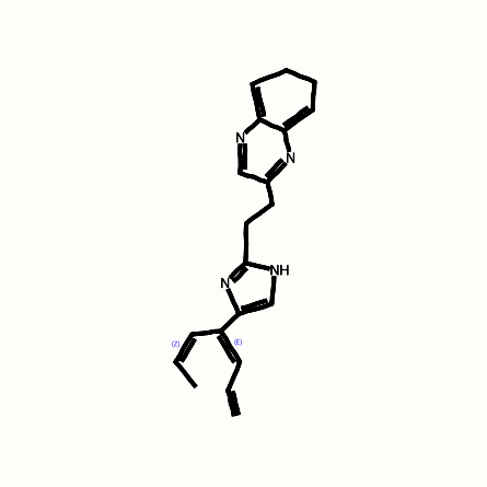 C=C/C=C(\C=C/C)c1c[nH]c(CCc2cnc3c(n2)=CCCC=3)n1